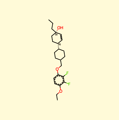 CCC[C@@]1(O)C=C[C@H](C2CCC(COc3ccc(OCC)c(F)c3F)CC2)CC1